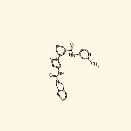 Cc1cc(NC(=O)c2cccc(-n3cc(NC(=O)N4Cc5ccccc5C4)cn3)c2)ccn1